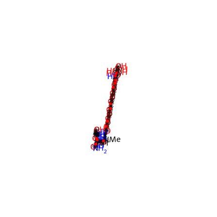 CN[C@@H](CCCCNC(=O)CCOCCOCCOCCOCCOCCCCCOCCOCCOCCOCCOCCOCCNC(=O)[C@H](O)[C@@H](O)[C@H](O)[C@H](O)CO)C(=O)N[C@H](C(=O)N[C@@H](CCCNC(N)=O)C(=O)Nc1ccc(CO)cc1)C(C)C